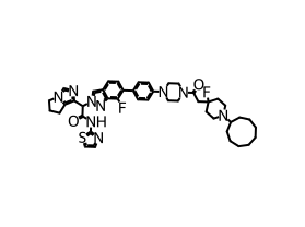 O=C(Nc1nccs1)C(c1ncn2c1CCC2)n1cc2ccc(-c3ccc(N4CCN(C(=O)CC5(F)CCN(C6CCCCCCCC6)CC5)CC4)cc3)c(F)c2n1